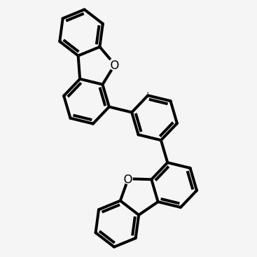 [c]1ccc(-c2cccc3c2oc2ccccc23)cc1-c1cccc2c1oc1ccccc12